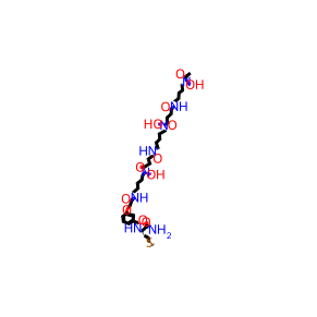 CSCC[C@H](NC(=O)c1cccc(OCC(=O)NCCCCCN(O)C(=O)CCC(=O)NCCCCCN(O)C(=O)CCC(=O)NCCCCCN(O)C(C)=O)c1)C(N)=O